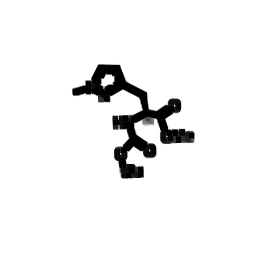 COC(=O)[C@H](Cc1ccn(C)n1)NC(=O)OC(C)(C)C